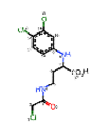 O=C(CCl)NCCC(Nc1ccc(Cl)c(Cl)c1)C(=O)O